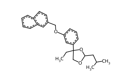 CCC1(c2cccc(OCc3ccc4ccccc4c3)c2)COC(CC(C)C)O1